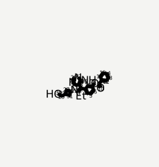 CCc1c(-c2cccc(OC(=O)c3ccccc3)c2)c2c(N)ncnc2n1C1CC(CO)C1